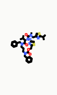 CC(C)c1nc(CN(C)C(=O)N[C@H](C(=O)N(CCCN(Cc2ccccc2)C(=O)OCc2nccs2)Cc2ccccc2)C(C)C)cs1